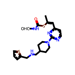 C/C(=C/c1ccnc(N2CCC(CNCc3cccs3)CC2)n1)SC(=O)NC=O